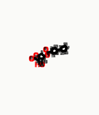 O=C1C[C@H]2C(C[C@@H](OC(=O)c3ccc(-c4ccccc4)cc3)[C@@H]2CO)O1